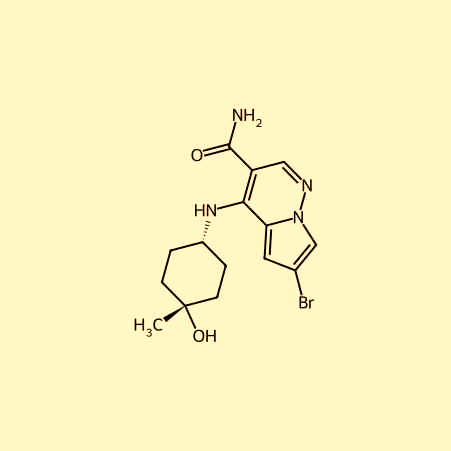 C[C@]1(O)CC[C@@H](Nc2c(C(N)=O)cnn3cc(Br)cc23)CC1